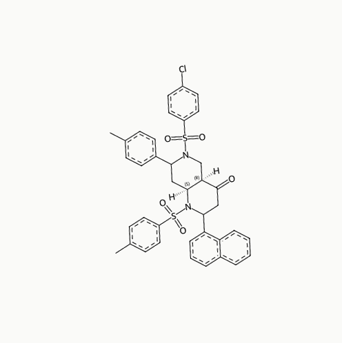 Cc1ccc(C2C[C@H]3[C@@H](CN2S(=O)(=O)c2ccc(Cl)cc2)C(=O)CC(c2cccc4ccccc24)N3S(=O)(=O)c2ccc(C)cc2)cc1